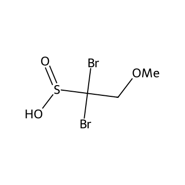 COCC(Br)(Br)S(=O)O